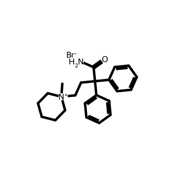 C[N+]1(CCC(C(N)=O)(c2ccccc2)c2ccccc2)CCCCC1.[Br-]